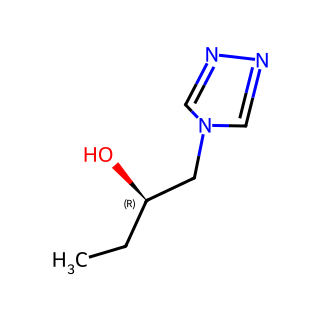 CC[C@@H](O)Cn1cnnc1